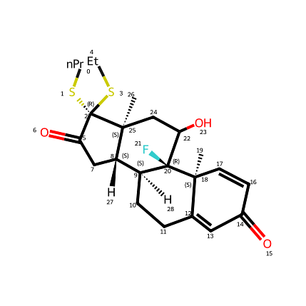 CCCS[C@@]1(SCC)C(=O)C[C@H]2[C@@H]3CCC4=CC(=O)C=C[C@]4(C)[C@@]3(F)C(O)C[C@@]21C